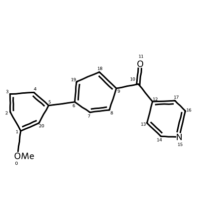 COc1cccc(-c2ccc(C(=O)c3ccncc3)cc2)c1